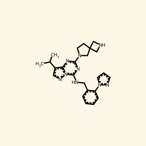 CC(C)c1cnn2c(NCc3ccccc3-n3cccn3)nc(N3CCC4(CNC4)C3)nc12